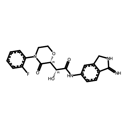 N=C1NCc2cc(NC(=O)[C@H](O)[C@H]3OCCN(c4ccccc4F)C3=O)ccc21